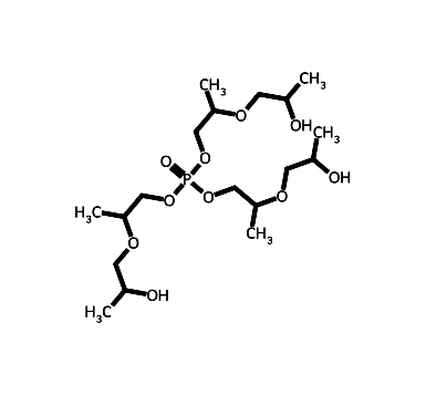 CC(O)COC(C)COP(=O)(OCC(C)OCC(C)O)OCC(C)OCC(C)O